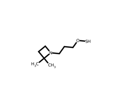 CC1(C)CCN1CCCOS